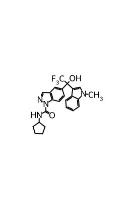 Cn1cc(C(O)(c2ccc3c(cnn3C(=O)NC3CCCC3)c2)C(F)(F)F)c2ccccc21